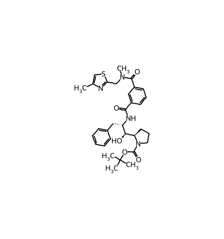 Cc1csc(CN(C)C(=O)c2cccc(C(=O)N[C@@H](Cc3ccccc3)[C@H](O)[C@H]3CCCN3C(=O)OC(C)(C)C)c2)n1